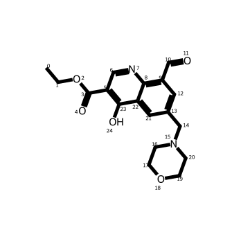 CCOC(=O)c1cnc2c(C=O)cc(CN3CCOCC3)cc2c1O